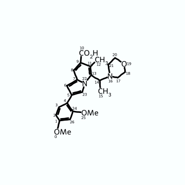 COc1ccc(-c2cc3cc(C(=O)O)c(C)c(C(C)N4CCOCC4)n3c2)c(OC)c1